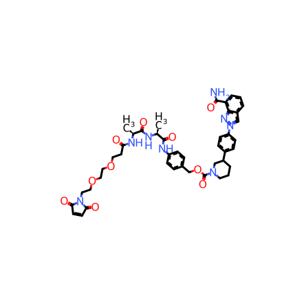 C[C@H](NC(=O)CCOCCOCCN1C(=O)C=CC1=O)C(=O)N[C@@H](C)C(=O)Nc1ccc(COC(=O)N2CCCC(c3ccc(-n4cc5cccc(C(N)=O)c5n4)cc3)C2)cc1